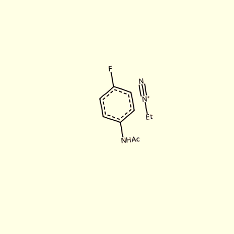 CC(=O)Nc1ccc(F)cc1.CC[N+]#N